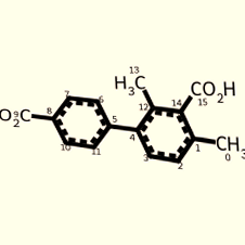 Cc1ccc(-c2ccc(C(=O)O)cc2)c(C)c1C(=O)O